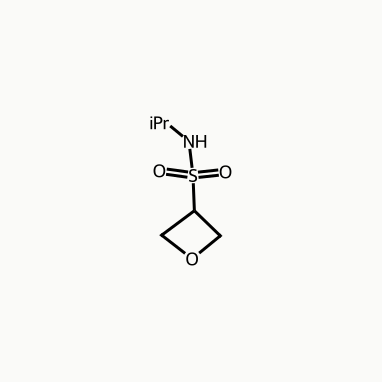 CC(C)NS(=O)(=O)C1COC1